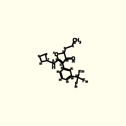 CCCC1OC(NC2CCC2)=C(c2cccc(C(F)(F)F)c2)C1=O